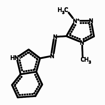 Cn1cn[n+](C)c1N=Nc1c[nH]c2ccccc12